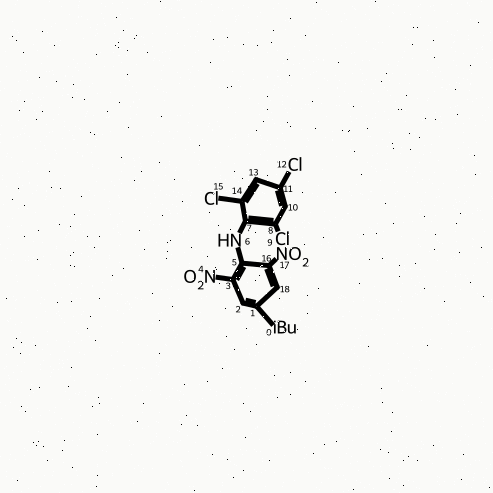 CCC(C)c1cc([N+](=O)[O-])c(Nc2c(Cl)cc(Cl)cc2Cl)c([N+](=O)[O-])c1